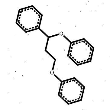 c1ccc(OCCC(Oc2ccccc2)c2ccccc2)cc1